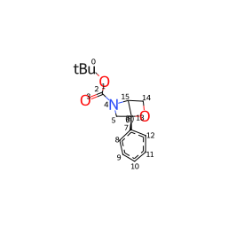 CC(C)(C)OC(=O)N1C[C@@]2(c3ccccc3)OCC12